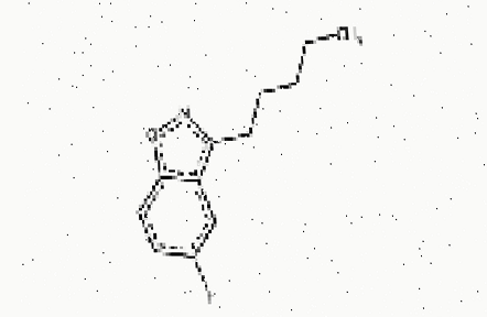 CCCCCc1noc2ccc(F)cc12